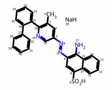 Cc1cc(N=Nc2cc(S(=O)(=O)O)c3ccccc3c2N)cnc1-c1ccccc1-c1ccccc1.[NaH]